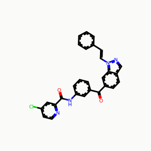 O=C(c1cccc(NC(=O)c2cc(Cl)ccn2)c1)c1ccc2cnn(C=Cc3ccccc3)c2c1